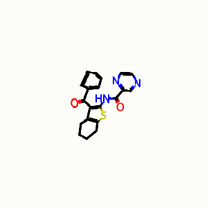 O=C(Nc1sc2c(c1C(=O)c1ccccc1)CCCC2)c1cnccn1